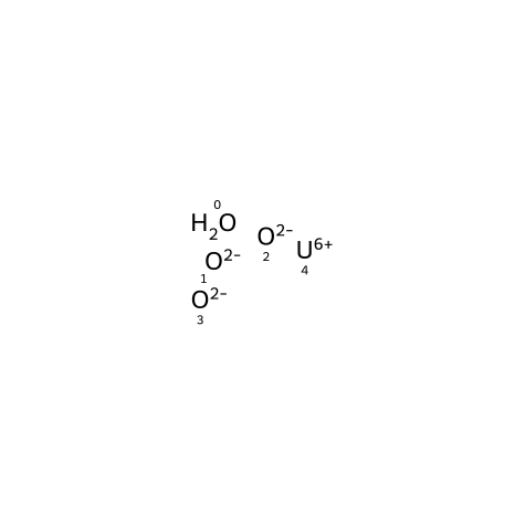 O.[O-2].[O-2].[O-2].[U+6]